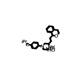 CC(C)Oc1ccc(N2CCNC(CCC3OCCc4ccccc43)C2)cc1.Cl.Cl